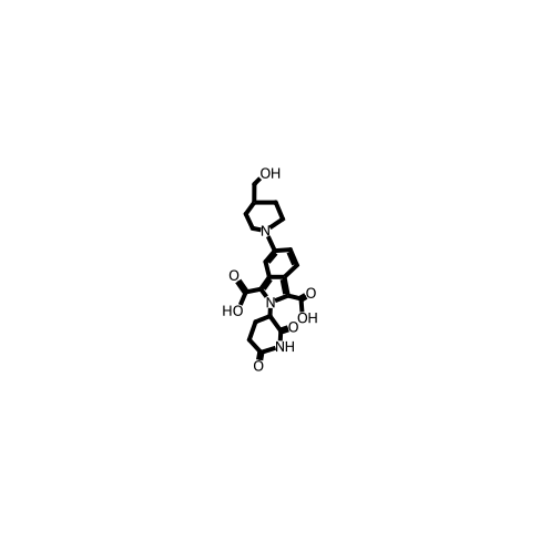 O=C1CCC(n2c(C(=O)O)c3ccc(N4CCC(CO)CC4)cc3c2C(=O)O)C(=O)N1